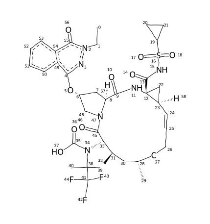 CCn1nc(O[C@@H]2C[C@H]3C(=O)N[C@]4(C(=O)NS(=O)(=O)C5CC5)C[C@H]4C=CCC[C@H](C)C[C@@H](C)[C@H](N(C(=O)O)C(C)(C)C(F)(F)F)C(=O)N3C2)c2ccccc2c1=O